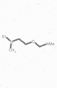 CCN(C)CCOCNC